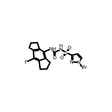 CC(C)n1ccc(S(=O)(=O)NC(=O)Nc2c3c(c(F)c4c2CCC4)CCC3)n1